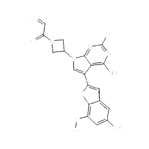 C=CC(=O)N1CC(n2cc(-c3cc4cc(C)cc(OC)c4s3)c3c(N)nc(Cl)nc32)C1